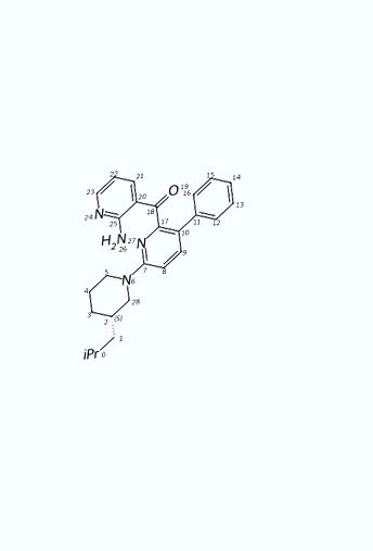 CC(C)C[C@@H]1CCCN(c2ccc(-c3ccccc3)c(C(=O)c3cccnc3N)n2)C1